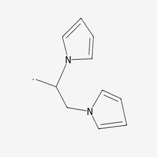 [CH2]C(Cn1cccc1)n1cccc1